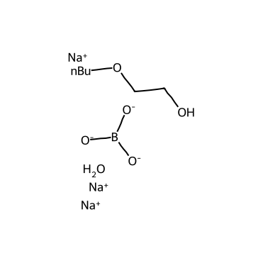 CCCCOCCO.O.[Na+].[Na+].[Na+].[O-]B([O-])[O-]